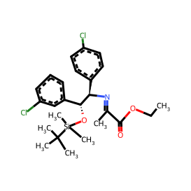 CCOC(=O)/C(C)=N/[C@H](c1ccc(Cl)cc1)[C@H](O[Si](C)(C)C(C)(C)C)c1cccc(Cl)c1